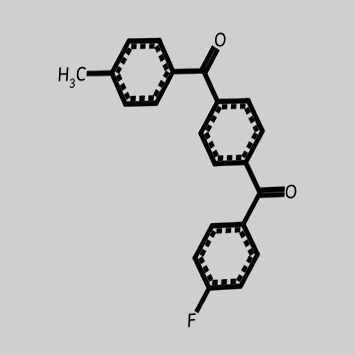 Cc1ccc(C(=O)c2ccc(C(=O)c3ccc(F)cc3)cc2)cc1